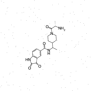 CC(NC(=O)c1ccc2c(c1)C(=O)C(=O)N2)C1CCN(C(=O)[C@H](C)N)CC1